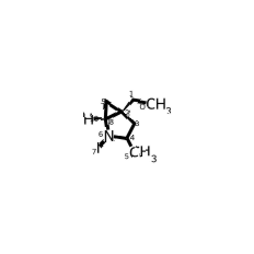 CC[C@@]12CC(C)N(I)[C@@H]1C2